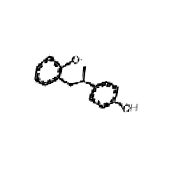 CC(Cc1ccccc1[O])c1ccc(O)cc1